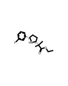 CCOC(=O)C(C)(C)[C@H]1CC[C@@H](c2cccc(F)c2)N1